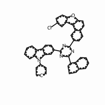 Clc1ccc2oc3ccc4ccc(-c5nc(-c6ccc7c8ccccc8n(-c8ccccc8)c7c6)nc(-c6cccc7ccccc67)n5)cc4c3c2c1